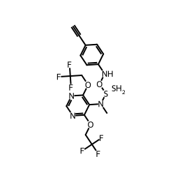 C#Cc1ccc(NOSN(C)c2c(OCC(F)(F)F)ncnc2OCC(F)(F)F)cc1.S